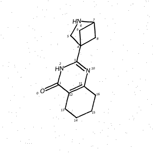 O=c1[nH]c(C23CNC(C2)C3)nc2c1CCCC2